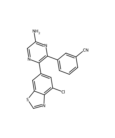 N#Cc1cccc(-c2nc(N)cnc2-c2cc(Cl)c3ncsc3c2)c1